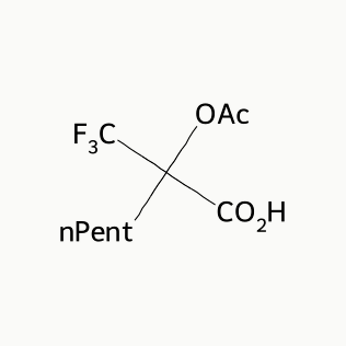 CCCCCC(OC(C)=O)(C(=O)O)C(F)(F)F